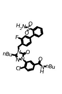 CCCCNC(=O)c1ccc(Cl)c(-n2nc(CCCC)n(Cc3ccc(-c4ccccc4S(N)(=O)=O)cc3F)c2=O)c1